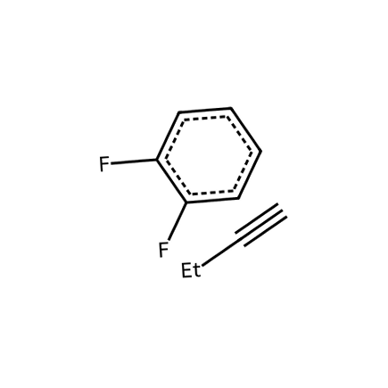 C#CCC.Fc1ccccc1F